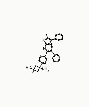 Cc1nc2nc(-c3ccc(C4(N)CC(C)(O)C4)cc3)c(-c3ccccc3)cn2c1-c1ccccc1